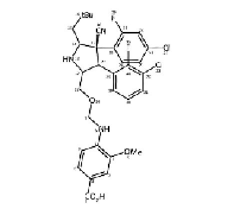 COc1cc(C(=O)O)ccc1NCOCC1NC(CC(C)(C)C)[C@](C#N)(c2ccc(Cl)cc2F)C1c1cccc(Cl)c1F